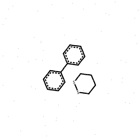 C1CCSSC1.c1ccc(-c2ccccc2)cc1